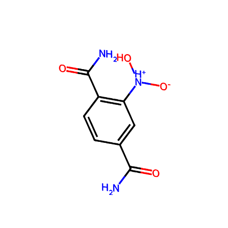 NC(=O)c1ccc(C(N)=O)c([NH+]([O-])O)c1